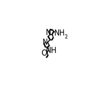 C=CC(=O)Nc1ccnc(-c2ccc3c(N)ccnc3c2)c1